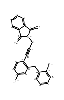 O=C1c2ccccc2C(=O)N1CC#Cc1ccc(Cl)cc1Cc1ccccc1F